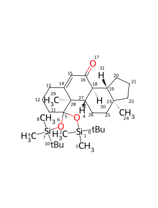 CC(C)(C)[Si](C)(C)OC1(O[Si](C)(C)C(C)(C)C)CCCC2=CC(=O)[C@H]3[C@@H]4CCC[C@@]4(C)CC[C@@H]3[C@]21C